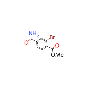 COC(=O)c1ccc(C(N)=O)cc1Br